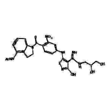 CC(=O)Nc1cccc2c1CCN2C(=O)c1ccc(Nc2snc(O)c2C(=N)NCC(O)CO)cc1[N+](=O)[O-]